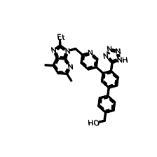 CCc1nc2c(C)cc(C)nc2n1Cc1ccc(-c2cc(-c3ccc(CO)cc3)ccc2-c2nnn[nH]2)cn1